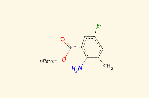 CCCCCOC(=O)c1cc(Br)cc(C)c1N